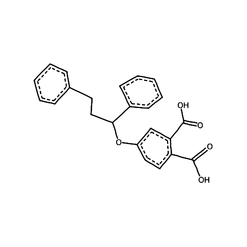 O=C(O)c1ccc(OC(CCc2ccccc2)c2ccccc2)cc1C(=O)O